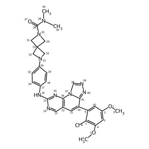 COc1cc(OC)c(Cl)c(-c2cc3cnc(Nc4ccc(N5CC6(CN(C(=O)N(C)C)C6)C5)cc4)nc3n3cnnc23)c1